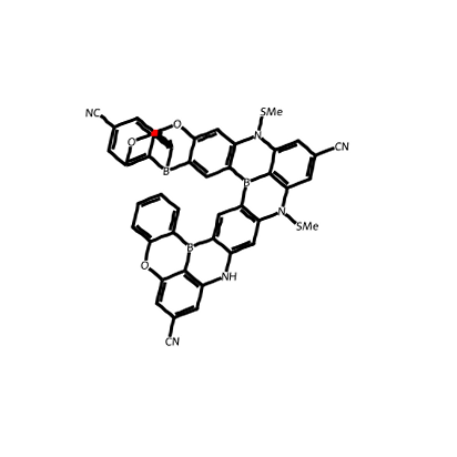 CSN1c2cc3c(cc2B2c4cc5c(cc4N(SC)c4cc(C#N)cc1c42)Oc1cc(C#N)cc2c1B5c1ccccc1O2)B1c2ccccc2Oc2cc(C#N)cc(c21)N3